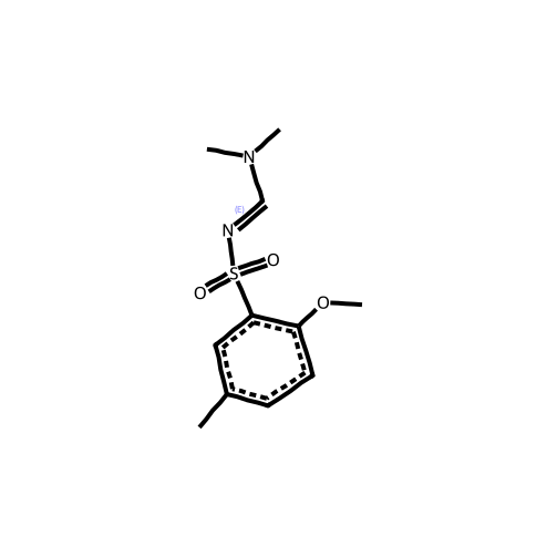 COc1ccc(C)cc1S(=O)(=O)/N=C/N(C)C